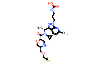 Cc1ccc2c([C@@H](C)N(C(=O)[C@H]3CN[C@@H](COCC(F)(F)F)CO3)C3CC3)nn(CCCNC(=O)O)c2n1